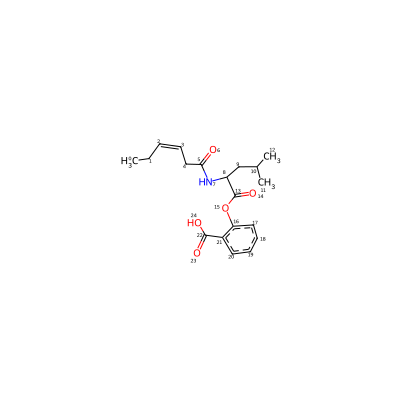 CC/C=C\CC(=O)NC(CC(C)C)C(=O)Oc1ccccc1C(=O)O